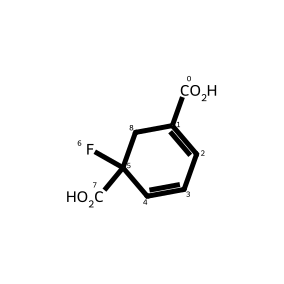 O=C(O)C1=CC=CC(F)(C(=O)O)C1